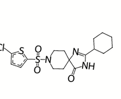 O=C1NC(C2CCCCC2)=NC12CCN(S(=O)(=O)c1ccc(Cl)s1)CC2